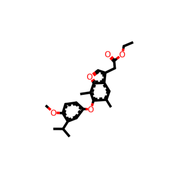 CCOC(=O)Cc1coc2c(C)c(Oc3ccc(OC)c(C(C)C)c3)c(C)cc12